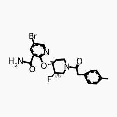 Cc1ccc(CC(=O)N2CC[C@@H](Oc3ncc(Br)cc3C(N)=O)[C@H](F)C2)cc1